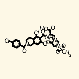 CS(=O)(=O)N1CC(=O)N(CC(NC(=O)c2c(Cl)cc3c(c2Cl)CCN(C(=O)c2ccc(Cl)cc2)C3)C(=O)O)C1